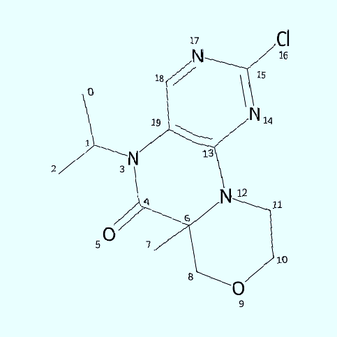 CC(C)N1C(=O)C2(C)COCCN2c2nc(Cl)ncc21